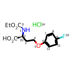 CCOC(=O)N[C@@H](CCOc1ccc(F)cc1)C(=O)O.Cl